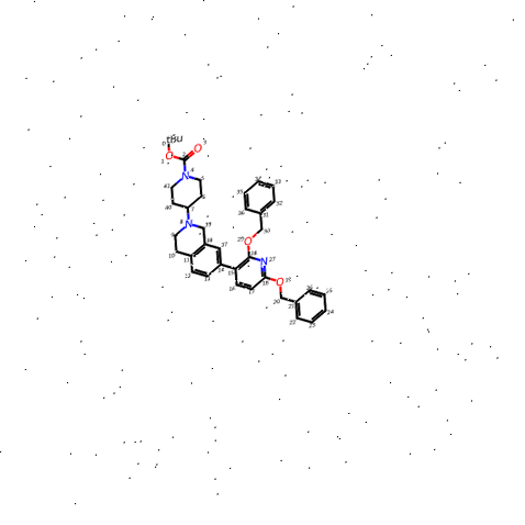 CC(C)(C)OC(=O)N1CCC(N2CCc3ccc(-c4ccc(OCc5ccccc5)nc4OCc4ccccc4)cc3C2)CC1